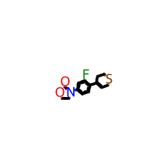 O=C1OCCN1c1ccc(C2=CCSCC2)c(F)c1